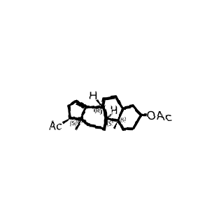 CC(=O)OC1CC[C@@]2(C)C(CC[C@H]3C4=CC[C@H](C(C)=O)[C@@]4(C)CC[C@@H]32)C1